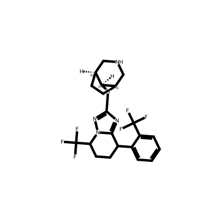 FC(F)(F)c1ccccc1C1CCC(C(F)(F)F)n2nc(N3[C@H]4[C@H]5CC[C@]43CNC5)nc21